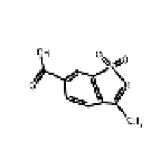 CC1=NS(=O)(=O)c2cc(C(=O)O)ccc21